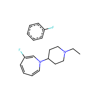 CCN1CCC(N2C=CC=CC(F)=C2)CC1.Fc1ccccc1